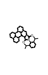 CC(C)c1cccc(C(C)C)c1-n1c(=O)c2cc3cccc4c5cccc6cccc(c65)c(c2c1=O)c34